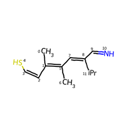 CC(/C=C\S)=C(C)\C=C(\C=N)C(C)C